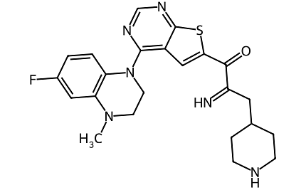 CN1CCN(c2ncnc3sc(C(=O)C(=N)CC4CCNCC4)cc23)c2ccc(F)cc21